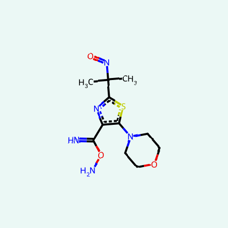 CC(C)(N=O)c1nc(C(=N)ON)c(N2CCOCC2)s1